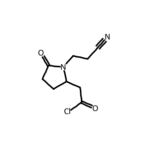 N#CCCN1C(=O)CCC1CC(=O)Cl